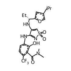 CC[C@@H](NC1=CS(=O)(=O)N=C1Nc1ccc(C(F)(F)F)c(C(=O)N(C)C)c1O)c1cc(C(C)C)co1